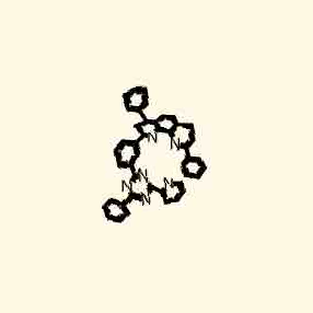 c1ccc(-c2ccc3ccc4c(-c5ccccc5)cc(-c5cccc(-c6nc(-c7ccccc7)nc(-c7ccccn7)n6)c5)nc4c3n2)cc1